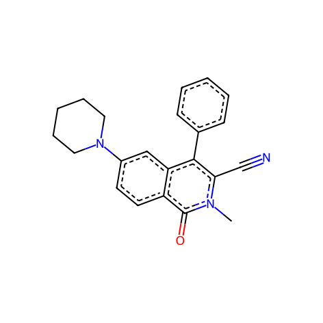 Cn1c(C#N)c(-c2ccccc2)c2cc(N3CCCCC3)ccc2c1=O